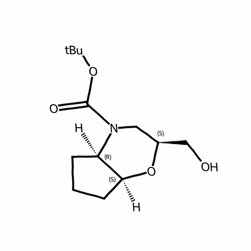 CC(C)(C)OC(=O)N1C[C@@H](CO)O[C@H]2CCC[C@H]21